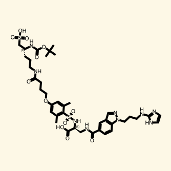 Cc1cc(OCCCC(=O)NCCC[C@H](CS(=O)(=O)O)NC(=O)OC(C)(C)C)cc(C)c1S(=O)(=O)N[C@@H](CNC(=O)c1ccc2c(cnn2CCCNc2ncc[nH]2)c1)C(=O)O